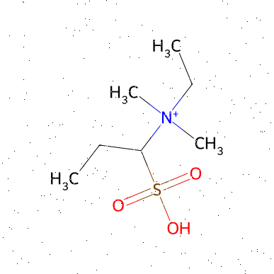 CCC([N+](C)(C)CC)S(=O)(=O)O